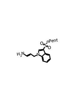 CCCCCS(=O)(=O)c1cn(CC=CN)c2ccccc12